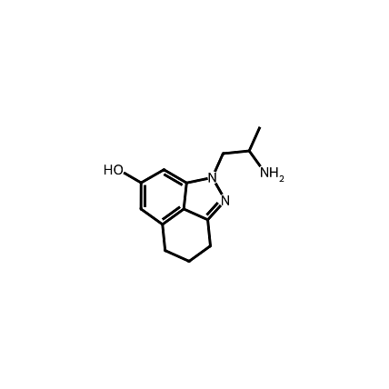 CC(N)Cn1nc2c3c(cc(O)cc31)CCC2